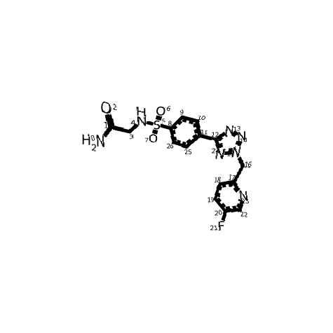 NC(=O)CNS(=O)(=O)c1ccc(-c2nnn(Cc3ccc(F)cn3)n2)cc1